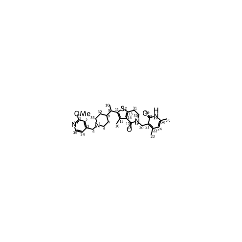 COc1cc(CN2CCC(C(C)c3sc4c(c3C)C(=O)N(Cc3c(C)cc(C)[nH]c3=O)CC4)CC2)ccn1